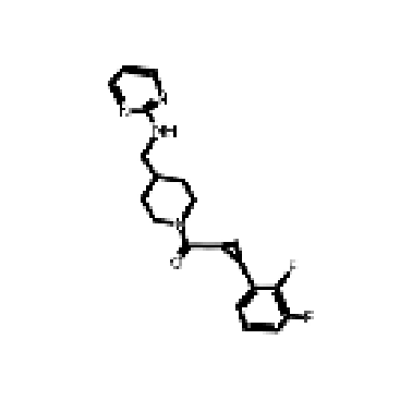 O=C(C1CC1c1cccc(F)c1F)N1CCC(CNc2ncccn2)CC1